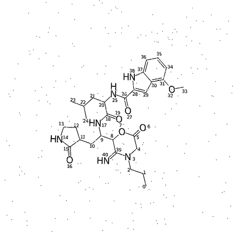 CCCN1CC(=O)OC(C(CC2CCNC2=O)NC(=O)C(CC(C)C)NC(=O)c2cc3c(OC)cccc3[nH]2)C1=N